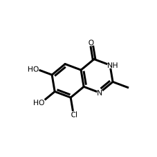 Cc1nc2c(Cl)c(O)c(O)cc2c(=O)[nH]1